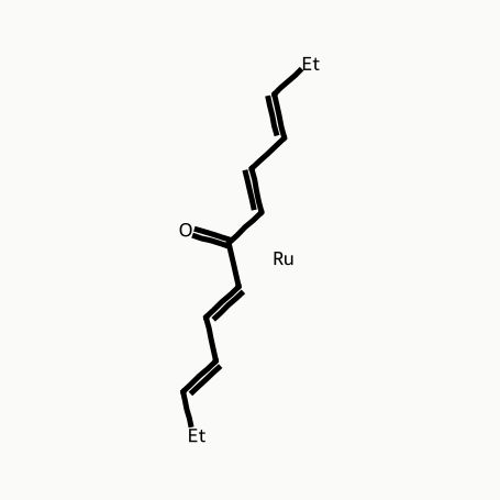 CCC=CC=CC(=O)C=CC=CCC.[Ru]